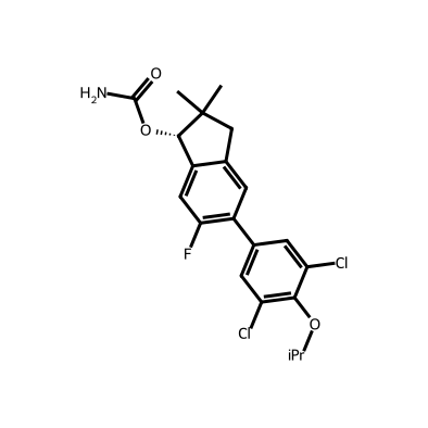 CC(C)Oc1c(Cl)cc(-c2cc3c(cc2F)[C@H](OC(N)=O)C(C)(C)C3)cc1Cl